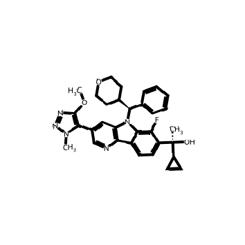 COc1nnn(C)c1-c1cnc2c3ccc([C@@](C)(O)C4CC4)c(F)c3n([C@H](c3ccccc3)C3CCOCC3)c2c1